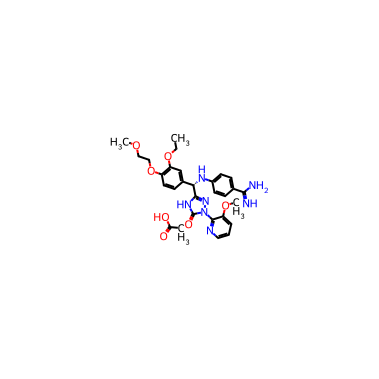 CC(=O)O.CCOc1cc([C@H](Nc2ccc(C(=N)N)cc2)c2nn(-c3ncccc3OC)c(=O)[nH]2)ccc1OCCOC